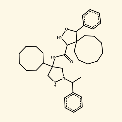 CC(c1ccccc1)N1CC(NC(=O)C2NOC(c3ccccc3)C23CCCCCCCC3)(C2CCCCCCC2)CN1